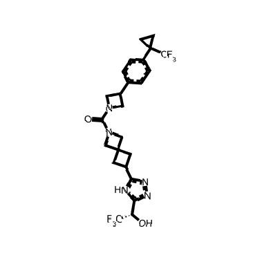 O=C(N1CC(c2ccc(C3(C(F)(F)F)CC3)cc2)C1)N1CC2(CC(c3nnc([C@H](O)C(F)(F)F)[nH]3)C2)C1